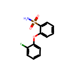 NS(=O)(=O)c1ccccc1Oc1ccccc1F